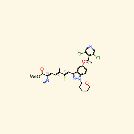 C=N\C(=C/C=C(C)/C(F)=C/c1nn(C2CCCCO2)c2ccc(O[C@H](C)c3c(Cl)cncc3Cl)cc12)C(=O)OC